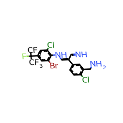 N=C/C(=C\Nc1c(Cl)cc(C(F)(C(F)(F)F)C(F)(F)F)cc1Br)c1ccc(Cl)c(CN)c1